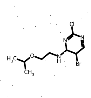 CC(C)OCCNC1N=C(Cl)N=CC1Br